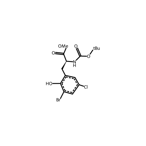 COC(=O)[C@H](Cc1cc(Cl)cc(Br)c1O)NC(=O)OC(C)(C)C